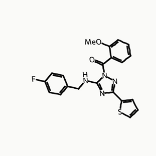 COc1ccccc1C(=O)n1nc(-c2cccs2)nc1NCc1ccc(F)cc1